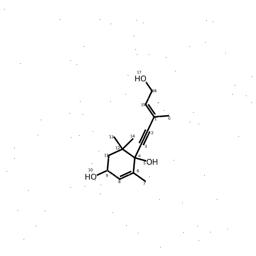 CC(C#CC1(O)C(C)=CC(O)CC1(C)C)=CCO